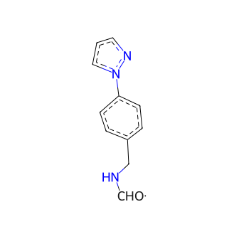 O=[C]NCc1ccc(-n2cccn2)cc1